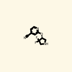 N#Cc1ccnc(O[C@H]2CNCC2(F)F)c1